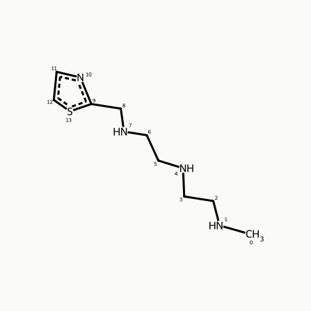 CNCCNCCNCc1nccs1